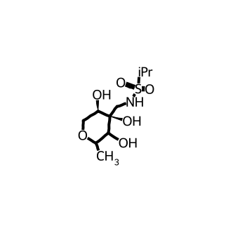 CC1OC[C@@H](O)[C@](O)(CNS(=O)(=O)C(C)C)C1O